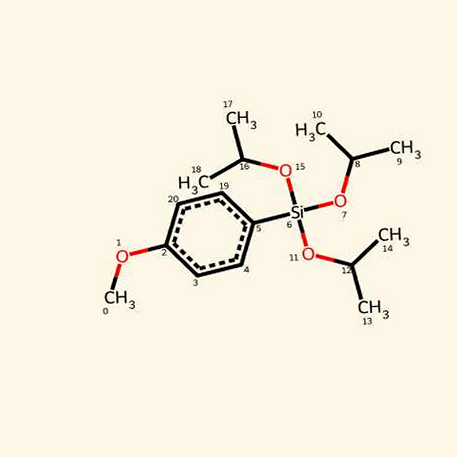 COc1ccc([Si](OC(C)C)(OC(C)C)OC(C)C)cc1